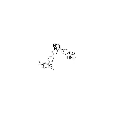 CCO[C@@]1(C2C=CC(c3cc4c(N5CCN(C(=O)NC(C)C)CC5)ccnn4c3)=CC2)CCN(C(C)C)C1